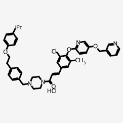 Cc1cc(C=CC(=O)N2CCN(Cc3ccc(CCOc4ccc(C(C)C)cc4)cc3)CC2)cc(Cl)c1Oc1ccc(OCc2cccnc2)cn1.Cl